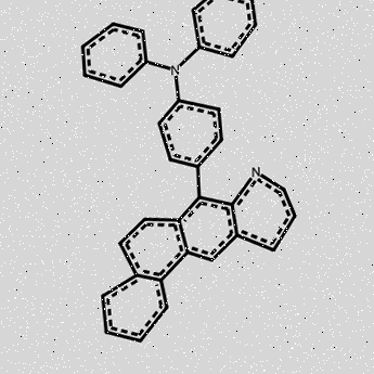 c1ccc(N(c2ccccc2)c2ccc(-c3c4ccc5ccccc5c4cc4cccnc34)cc2)cc1